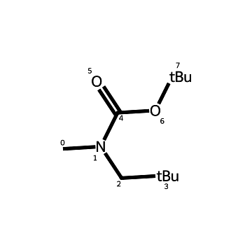 CN(CC(C)(C)C)C(=O)OC(C)(C)C